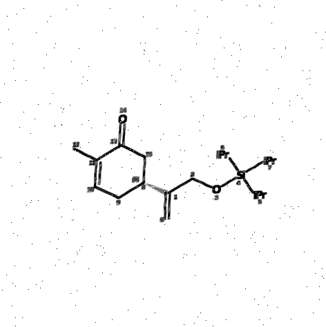 C=C(CO[Si](C(C)C)(C(C)C)C(C)C)[C@@H]1CC=C(C)C(=O)C1